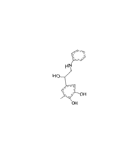 Cc1cc(C(O)CNc2ccccc2)cc(O)c1O